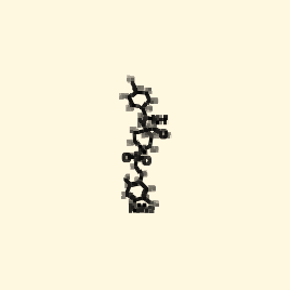 CNc1cc(C)c(CCS(=O)(=O)N2CCC3(CC2)N=C(C2CCC(C)CC2)NC3=O)cc1C